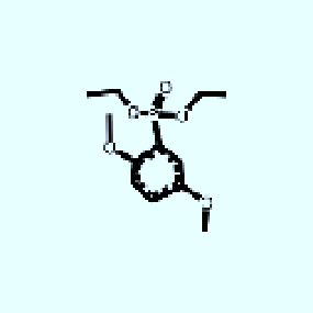 CCOP(=O)(OCC)c1cc(OC)ccc1OC